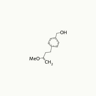 C=C(CCc1ccc(CO)cc1)OC